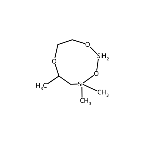 CC1C[Si](C)(C)O[SiH2]OCCO1